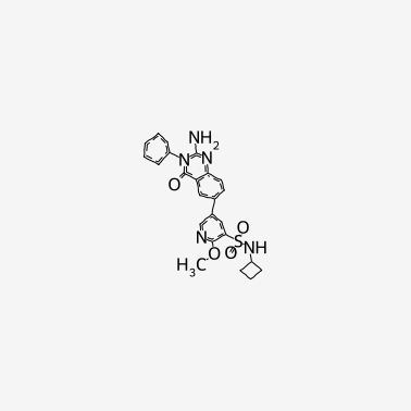 COc1ncc(-c2ccc3nc(N)n(-c4ccccc4)c(=O)c3c2)cc1S(=O)(=O)NC1CCC1